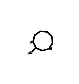 OC1CNCCCCCN1